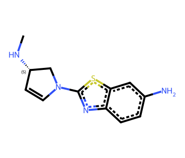 CN[C@H]1C=CN(c2nc3ccc(N)cc3s2)C1